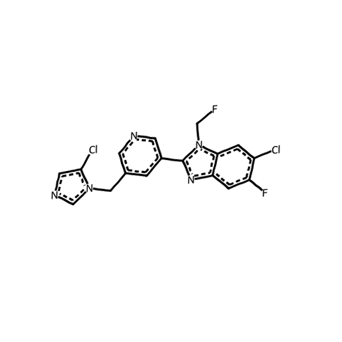 FCn1c(-c2cncc(Cn3cncc3Cl)c2)nc2cc(F)c(Cl)cc21